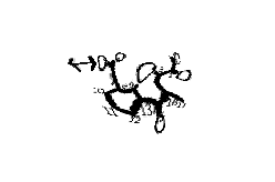 CC(=O)c1oc2c(C(=O)O)cccc2c(=O)c1C